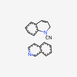 N#CN1CC=Cc2ccccc21.c1ccc2cnccc2c1